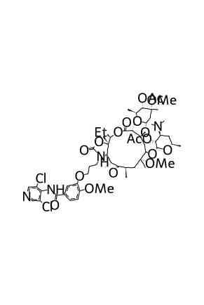 CC[C@H]1OC(=O)[C@H](C)[C@@H](O[C@H]2C[C@@](C)(OC)[C@@H](OC(C)=O)[C@H](C)O2)[C@H](C)[C@@H](O[C@@H]2O[C@H](C)C[C@H](N(C)C)[C@H]2OC(C)=O)[C@](C)(OC)C[C@@H](C)C(=O)[C@H](C)[C@H]2N(CCCOc3cc(C(=O)Nc4c(Cl)cncc4Cl)ccc3OC)C(=O)O[C@]12C